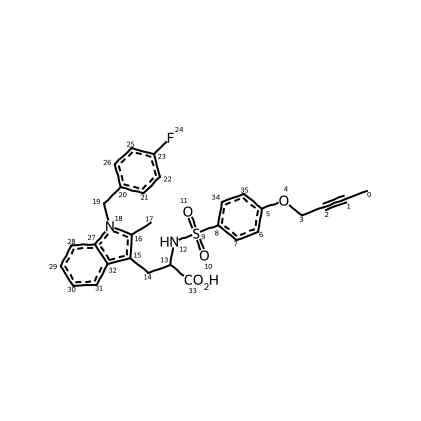 CC#CCOc1ccc(S(=O)(=O)NC(Cc2c(C)n(Cc3ccc(F)cc3)c3ccccc23)C(=O)O)cc1